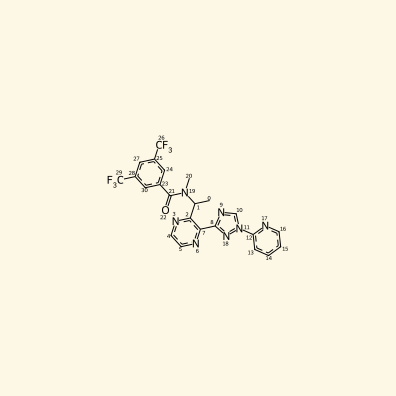 CC(c1nccnc1-c1ncn(-c2ccccn2)n1)N(C)C(=O)c1cc(C(F)(F)F)cc(C(F)(F)F)c1